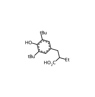 CCC(Cc1cc(C(C)(C)C)c(O)c(C(C)(C)C)c1)C(=O)O